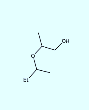 [CH2]CC(C)OC(C)CO